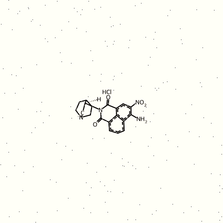 Cl.Nc1c([N+](=O)[O-])cc2c3c(cccc13)C(=O)N([C@H]1CN3CCC1CC3)C2=O